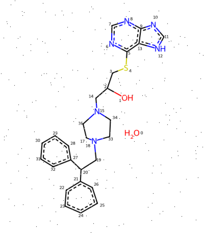 O.OC(CSc1ncnc2nc[nH]c12)CN1CCN(CC(c2ccccc2)c2ccccc2)CC1